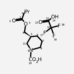 CC(C)C(=O)OC[C@H]1CCCN(C(=O)O)C1.O=C(O)C(F)(F)F